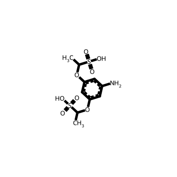 CC(Oc1cc(N)cc(OC(C)S(=O)(=O)O)c1)S(=O)(=O)O